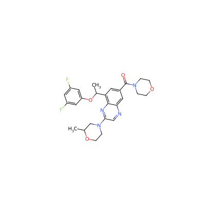 CC1CN(c2cnc3cc(C(=O)N4CCOCC4)cc(C(C)Oc4cc(F)cc(F)c4)c3n2)CCO1